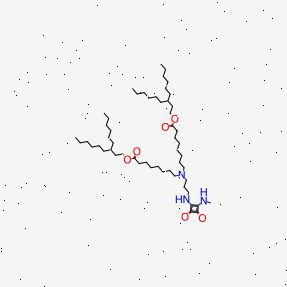 CCCCCCC(CCCCCC)CCOC(=O)CCCCCCCN(CCCCCCCC(=O)OCCC(CCCCCC)CCCCCC)CCCNc1c(NC)c(=O)c1=O